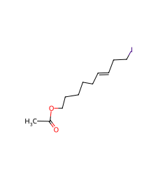 CC(=O)OCCCCC/C=C/CCI